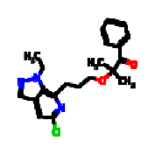 CCn1ncc2cc(Cl)nc(CCCOC(C)(C)C(=O)c3ccccc3)c21